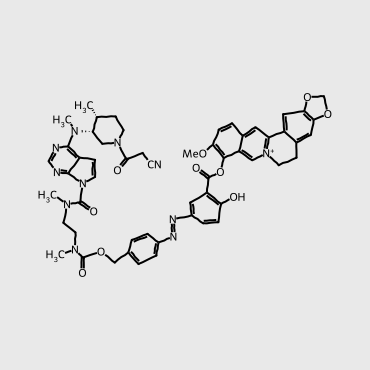 COc1ccc2cc3[n+](cc2c1OC(=O)c1cc(/N=N/c2ccc(COC(=O)N(C)CCN(C)C(=O)n4ccc5c(N(C)[C@H]6CN(C(=O)CC#N)CC[C@H]6C)ncnc54)cc2)ccc1O)CCc1cc2c(cc1-3)OCO2